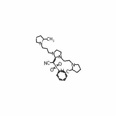 CC1CCCN1CCCN1CCN(CCN2CCCC2C)C1=C(C#N)S(=O)(=O)c1ccccc1